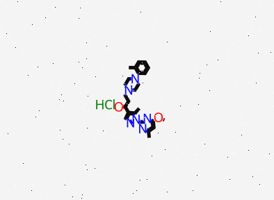 COc1cc(C)nc(-n2ncc(C(=O)CCN3CCN(c4ccccc4C)CC3)c2C)n1.Cl